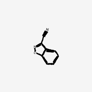 N#Cc1noc2ccccc12